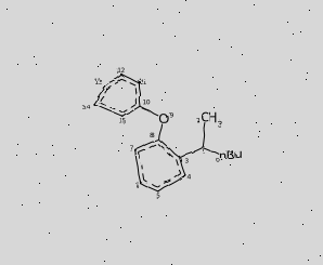 CCCCC(C)c1ccccc1Oc1[c]cccc1